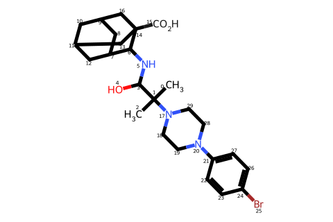 CC(C)(C(O)NC1C2CC3CC(C2)CC1(C(=O)O)C3)N1CCN(c2ccc(Br)cc2)CC1